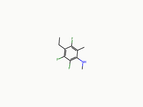 CCc1c(F)c(C)c(NC)c(F)c1F